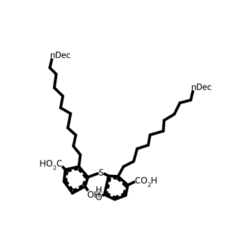 CCCCCCCCCCCCCCCCCCCCc1c(C(=O)O)ccc(O)c1Sc1c(O)ccc(C(=O)O)c1CCCCCCCCCCCCCCCCCCCC